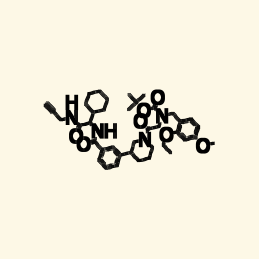 C#CCNC(=O)[C@H](NC(=O)c1cccc(C2CCCN(C(=O)CN(Cc3ccc(OC)cc3OCC)C(=O)OC(C)(C)C)C2)c1)C1CCCCC1